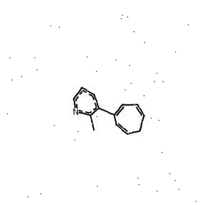 Cc1ncccc1C1=CC=CCC=C1